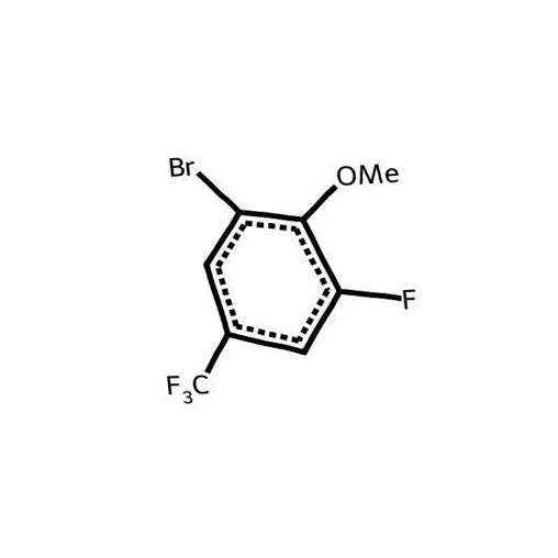 COc1c(F)cc(C(F)(F)F)cc1Br